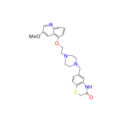 COc1cnc2cccc(OCCN3CCN(Cc4ccc5c(c4)NC(=O)CS5)CC3)c2c1